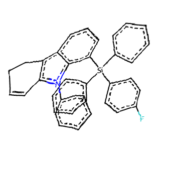 Fc1ccc([Si](c2ccccc2)(c2ccccc2)c2cccc3c4c(n(-c5ccccc5)c23)C=CCC4)cc1